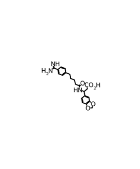 N=C(N)c1ccc(CCCCC(=O)NC(CC(=O)O)c2ccc3c(c2)OCO3)cc1